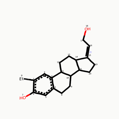 CCc1cc2c(cc1O)CCC1C2CCC2/C(=C\CO)CCC21